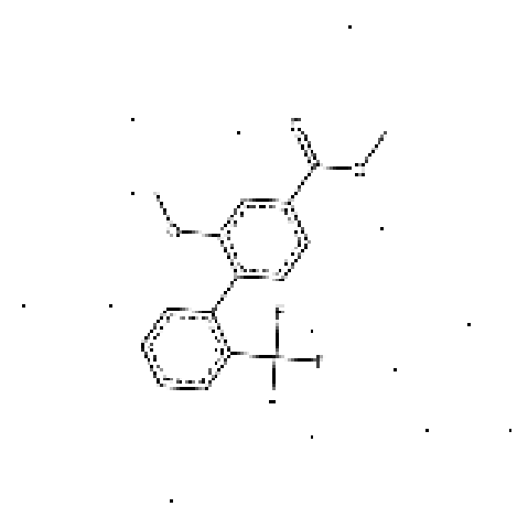 COC(=O)c1ccc(-c2ccccc2C(F)(F)F)c(OC)c1